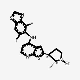 CCN1CC[C@H](c2cc3c(Nc4c(F)cc5scnc5c4F)ccnc3s2)[C@H]1C